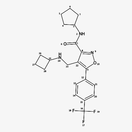 O=C(NC1CCCC1)c1noc(-c2ccc(C(F)(F)F)cc2)c1CNC1CCC1